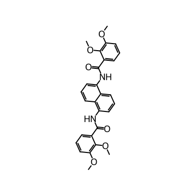 COc1cccc(C(=O)Nc2cccc3c(NC(=O)c4cccc(OC)c4OC)cccc23)c1OC